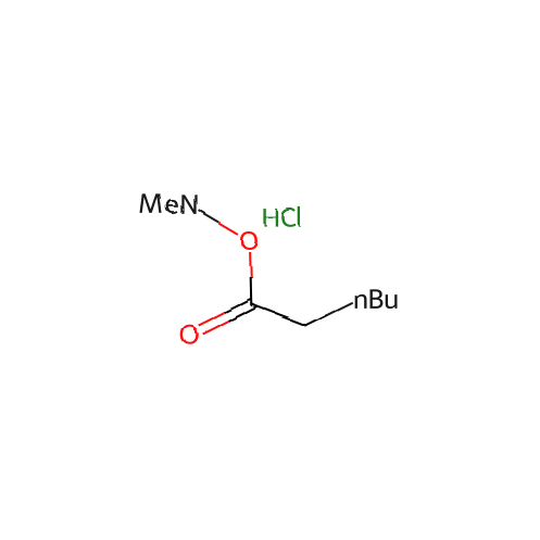 CCCCCC(=O)ONC.Cl